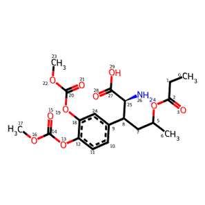 CCC(=O)OC(C)CC(c1ccc(OC(=O)OC)c(OC(=O)OC)c1)[C@H](N)C(=O)O